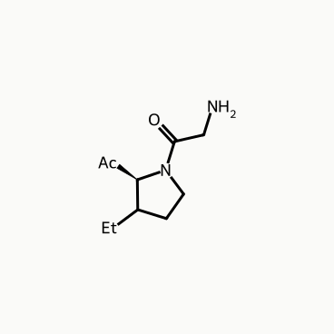 CCC1CCN(C(=O)CN)[C@@H]1C(C)=O